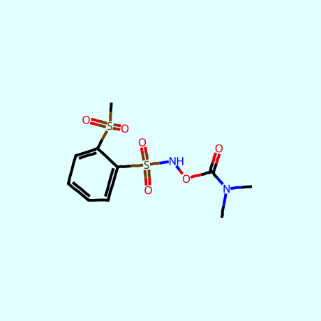 CN(C)C(=O)ONS(=O)(=O)c1ccccc1S(C)(=O)=O